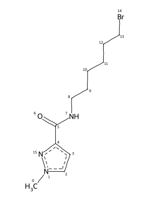 Cn1ccc(C(=O)NCCCCCCBr)n1